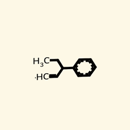 [CH]=CC(CC)c1ccccc1